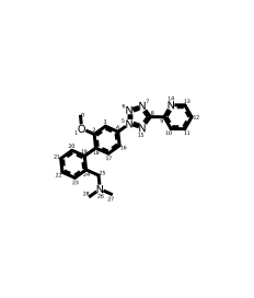 COc1cc(-n2nnc(-c3ccccn3)n2)ccc1-c1ccccc1CN(C)C